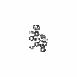 Cc1cc(N(CCN(C)C)c2ccccc2-c2cc(C)cc(C34CC5CC(CC(C5)C3)C4)c2O)c(O)c(-n2c3ccccc3c3ccccc32)c1